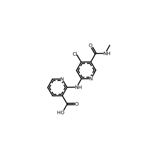 CNC(=O)c1cnc(Nc2ncccc2C(=O)O)cc1Cl